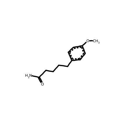 COc1ccc(CCCCC(N)=O)cc1